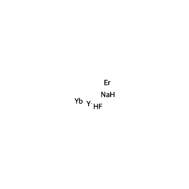 F.[Er].[NaH].[Y].[Yb]